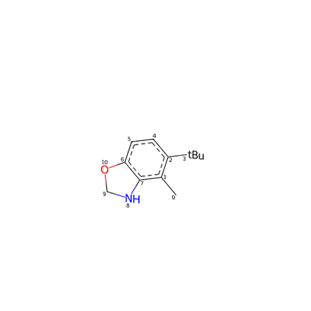 Cc1c(C(C)(C)C)ccc2c1NCO2